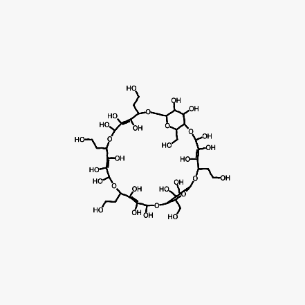 OCCC1OC(O)/C(O)=C(\O)C(CCO)OC2OC(CO)C(OC(O)/C(O)=C(\O)C(CCO)OC3OC(CO)C(OC(O)/C(O)=C(\O)C(CCO)OC(O)/C(O)=C/1O)C(O)C3O)C(O)C2O